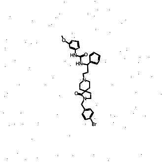 COc1cccc(NC(=O)NC(CCN2CCC3(CC2)CCN(Cc2ccc(Br)cc2)C3=O)c2ccccc2)c1